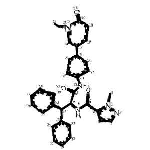 Cn1nccc1C(=O)NC(C(=O)Nc1ccc(-c2ccc(=O)n(C)c2)cc1)C(c1ccccc1)c1ccccc1